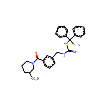 CCOC(=O)C1CCCN(C(=O)c2cccc(CNC(=N)NC(C=O)(c3ccccc3)c3ccccc3)c2)C1